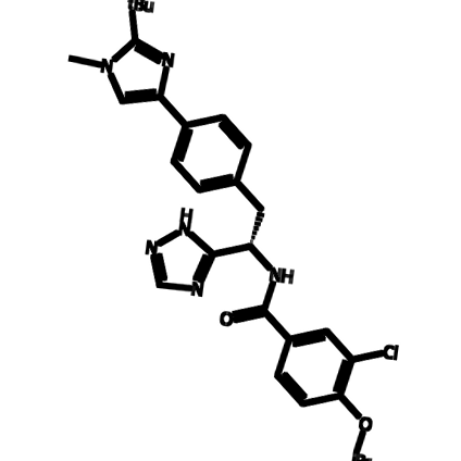 CC(C)Oc1ccc(C(=O)N[C@@H](Cc2ccc(-c3cn(C)c(C(C)(C)C)n3)cc2)c2ncn[nH]2)cc1Cl